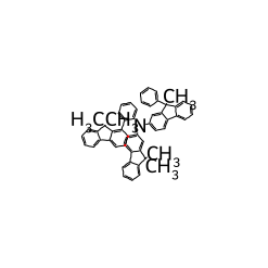 CC1(C)c2ccccc2-c2ccc(N(c3ccc4c(c3)C(C)(c3ccccc3)c3ccccc3-4)c3ccccc3-c3cccc4c3C(C)(C)c3ccccc3-4)cc21